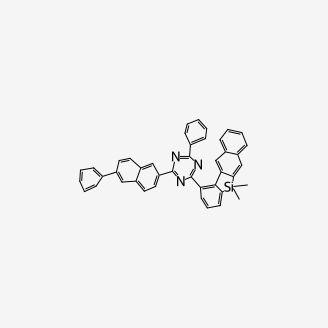 C[Si]1(C)c2cc3ccccc3cc2-c2c(-c3nc(-c4ccccc4)nc(-c4ccc5cc(-c6ccccc6)ccc5c4)n3)cccc21